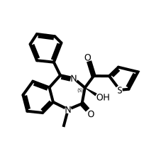 CN1C(=O)[C@@](O)(C(=O)c2cccs2)N=C(c2ccccc2)c2ccccc21